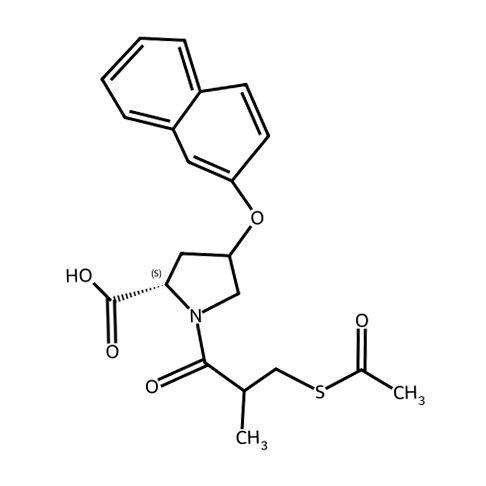 CC(=O)SCC(C)C(=O)N1CC(Oc2ccc3ccccc3c2)C[C@H]1C(=O)O